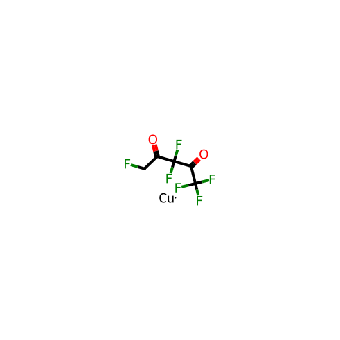 O=C(CF)C(F)(F)C(=O)C(F)(F)F.[Cu]